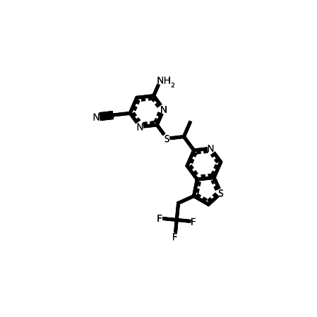 CC(Sc1nc(N)cc(C#N)n1)c1cc2c(CC(F)(F)F)csc2cn1